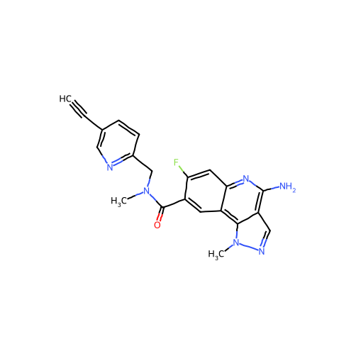 C#Cc1ccc(CN(C)C(=O)c2cc3c(cc2F)nc(N)c2cnn(C)c23)nc1